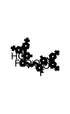 Cc1cc(-c2cc(F)ccc2O[C@H](C)C[C@H](C)Oc2ccc(F)cc2-c2cc(C)cc(-n3c4ccc(C(C)(C)C)cc4c4cc(C(C)(C)C)ccc43)c2O)c(O)c(-n2c3ccc(C(C)(C)C)cc3c3cc(C(C)(C)C)ccc32)c1